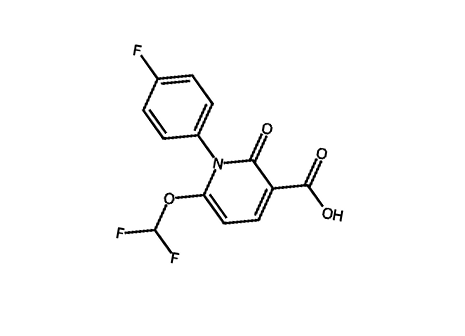 O=C(O)c1ccc(OC(F)F)n(-c2ccc(F)cc2)c1=O